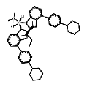 CCC1=Cc2c(-c3ccc(C4CCCCC4)cc3)cccc2[CH]1[Zr]([Cl])([Cl])([CH]1C(C(C)CC)=Cc2c(-c3ccc(C4CCCCC4)cc3)cccc21)[SiH](C)C